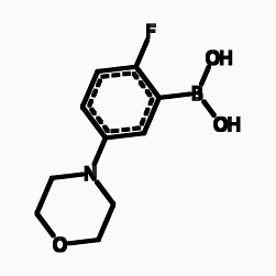 OB(O)c1cc(N2CCOCC2)ccc1F